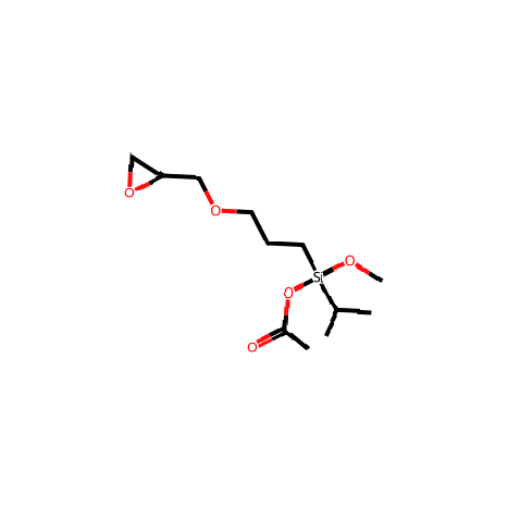 CO[Si](CCCOCC1CO1)(OC(C)=O)C(C)C